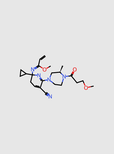 C=CC(=NC1(C2CC2)CC=C(C#N)C(N2CCN(C(=O)CCOC)[C@H](C)C2)=N1)OC